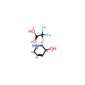 O=C(O)C(F)(F)F.OC1C=CCNC1